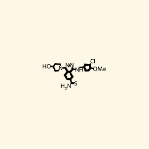 COc1ccc(CNc2nnc(N3CCC(O)CC3)c3ccc(C(N)=S)cc23)cc1Cl